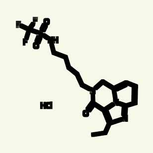 CCc1nc2cccc3n2c1C(=O)N(CCCCCNS(=O)(=O)C(F)(F)F)C3.Cl